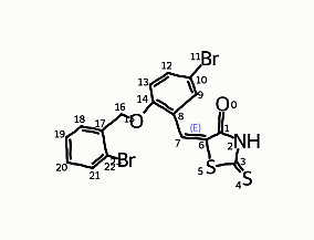 O=C1NC(=S)S/C1=C/c1cc(Br)ccc1OCc1ccccc1Br